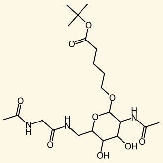 CC(=O)NCC(=O)NCC1OC(OCCCCC(=O)OC(C)(C)C)C(NC(C)=O)C(O)C1O